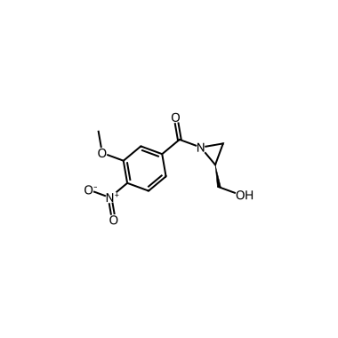 COc1cc(C(=O)N2C[C@H]2CO)ccc1[N+](=O)[O-]